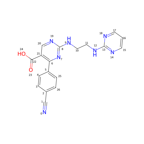 N#Cc1ccc(-c2nc(NCCNc3ncccn3)ncc2C(=O)O)cc1